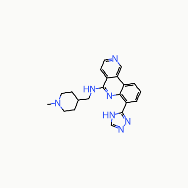 CN1CCC(CNc2nc3c(-c4nnc[nH]4)cccc3c3cnccc23)CC1